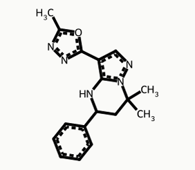 Cc1nnc(-c2cnn3c2NC(c2ccccc2)CC3(C)C)o1